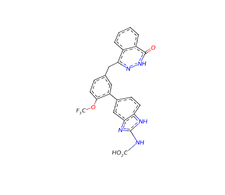 O=C(O)Nc1nc2cc(-c3cc(Cc4n[nH]c(=O)c5ccccc45)ccc3OC(F)(F)F)ccc2[nH]1